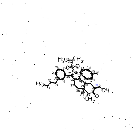 C[C@@H]1C(=O)/C(=C\O)C[C@]2(c3cccc(F)c3)c3nn(S(=O)(=O)N(C)C)c(-c4cccc(CCCO)c4)c3CC[C@@H]12